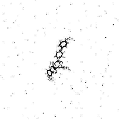 COc1ccc(N2CCN(C(=O)Nc3nc4ccc(C)cc4nc3OC)CC2)cc1